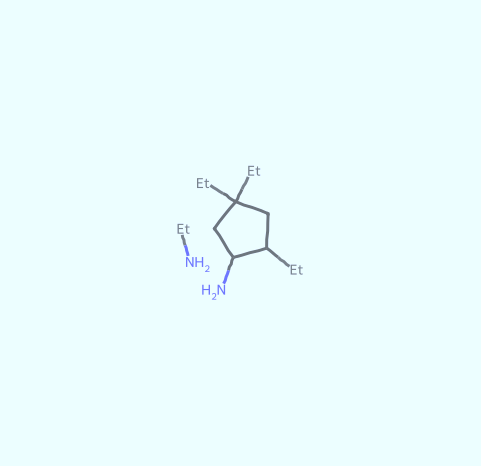 CCC1CC(CC)(CC)CC1N.CCN